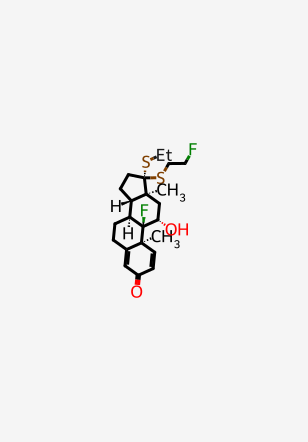 CCS[C@@]1(SCCF)CC[C@H]2[C@@H]3CCC4=CC(=O)C=C[C@]4(C)[C@@]3(F)[C@@H](O)C[C@@]21C